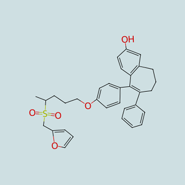 CC(CCCOc1ccc(C2=C(c3ccccc3)CCCc3cc(O)ccc32)cc1)S(=O)(=O)Cc1ccco1